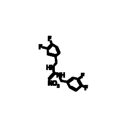 O=[N+]([O-])C=C(NCc1ccc(F)c(F)c1)NCc1ccc(F)c(F)c1